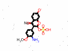 COc1ccc(-c2c(OS(=O)(=O)O)oc3cc([O-])ccc3c2=O)cc1N.[Na+]